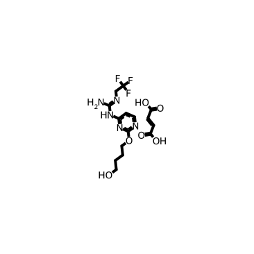 NC(=NCC(F)(F)F)Nc1ccnc(OCCCCO)n1.O=C(O)C=CC(=O)O